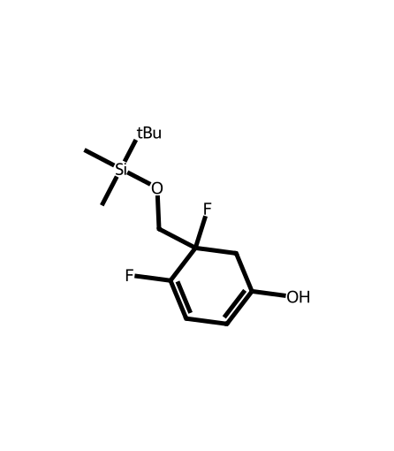 CC(C)(C)[Si](C)(C)OCC1(F)CC(O)=CC=C1F